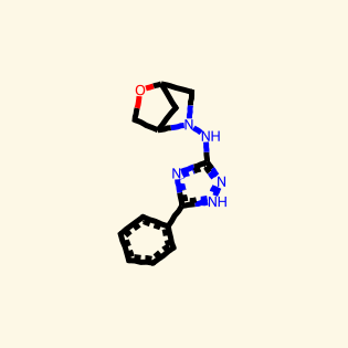 c1ccc(-c2nc(NN3CC4CC3CO4)n[nH]2)cc1